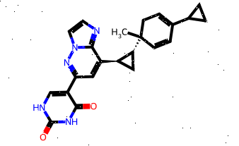 CC1([C@@H]2C[C@H]2c2cc(-c3c[nH]c(=O)[nH]c3=O)nn3ccnc23)C=CC(C2CC2)=CC1